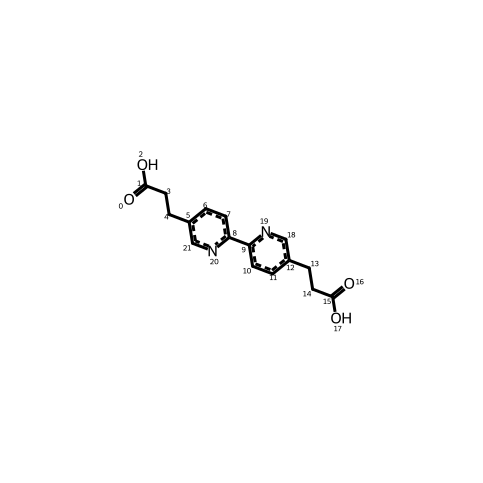 O=C(O)CCc1ccc(-c2ccc(CCC(=O)O)cn2)nc1